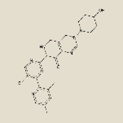 Cc1cnc(-c2cc(C3NCC4=C(N=CN(N5CCC(O)CC5)C4)C3=O)ncc2Cl)c(C)c1